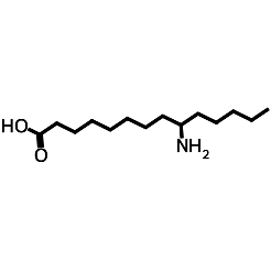 CCCCCC(N)CCCCCCCC(=O)O